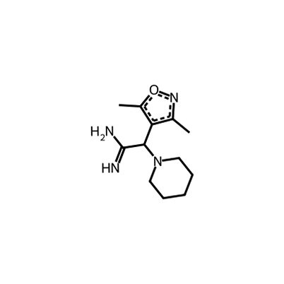 Cc1noc(C)c1C(C(=N)N)N1CCCCC1